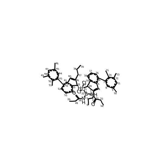 CCCC1=Cc2c(-c3cc(C)cc(C)c3C)cccc2[CH]1[Hf]([Cl])([Cl])([B](NC(=O)CC)NC(=O)CC)[CH]1C(CCC)=Cc2c(-c3cc(C)cc(C)c3C)cccc21